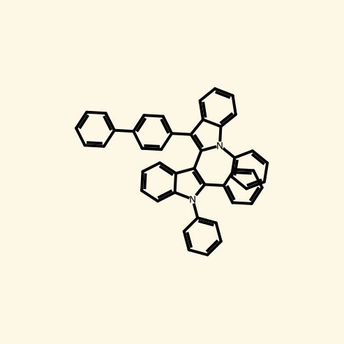 c1ccc(-c2ccc(-c3c(-c4c(-c5ccccc5)n(-c5ccccc5)c5ccccc45)n(-c4ccccc4)c4ccccc34)cc2)cc1